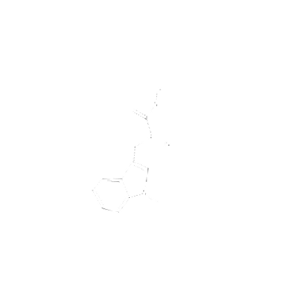 Cn1cc(C[C@@H](N)C(=O)NO)c2ccccc21